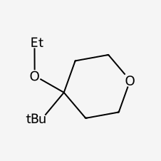 CCOC1(C(C)(C)C)CCOCC1